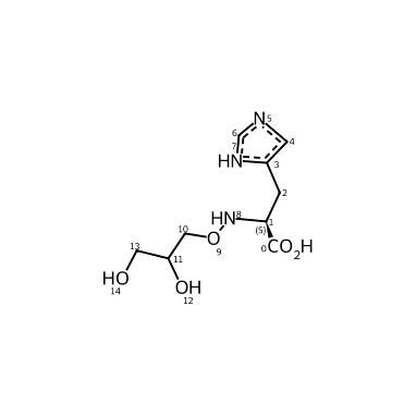 O=C(O)[C@H](Cc1cnc[nH]1)NOCC(O)CO